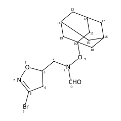 O=CN(CC1CC(Br)=NO1)OC12CC3CC(CC(C3)C1)C2